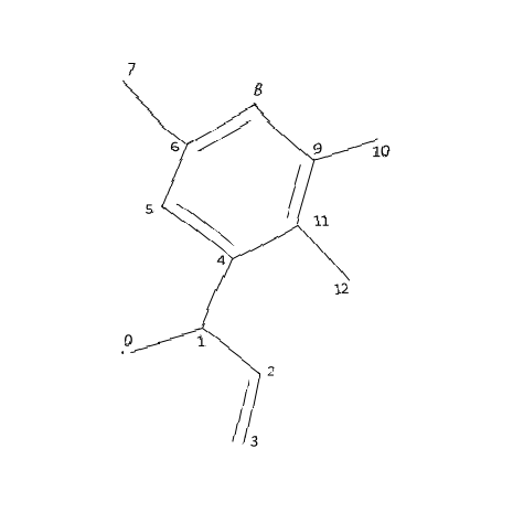 [CH2]C(C=C)c1cc(C)cc(C)c1C